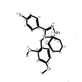 COc1ccc(CN2C(c3ccc(F)cc3)=NN[C@]23CC2CCC3CC2)c(OC)c1